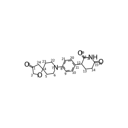 O=C1COC2(CCN(c3ccc(C4CCC(=O)NC4=O)cc3)CC2)C1